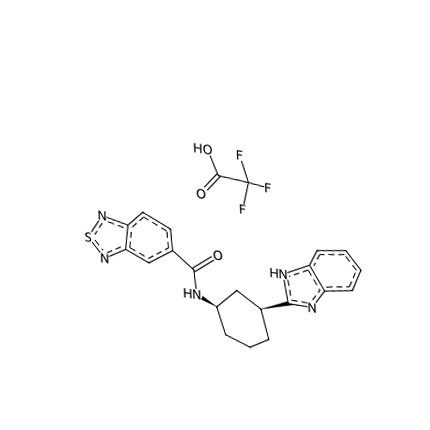 O=C(N[C@@H]1CCC[C@H](c2nc3ccccc3[nH]2)C1)c1ccc2nsnc2c1.O=C(O)C(F)(F)F